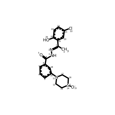 C/C(=N\NC(=O)c1cccc(N2CC[S+]([O-])CC2)c1)c1cc(Cl)ccc1O